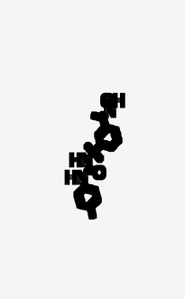 C/C(=N\O)c1cccc(C(C)(C)NC(=O)Nc2ccc(C)cc2)c1